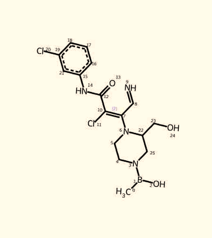 CB(O)N1CCN(/C(C=N)=C(\Cl)C(=O)Nc2cccc(Cl)c2)C(CO)C1